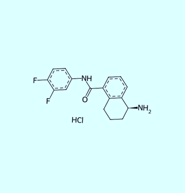 Cl.N[C@H]1CCCc2c(C(=O)Nc3ccc(F)c(F)c3)cccc21